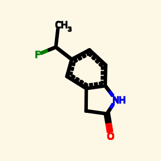 CC(F)c1ccc2c(c1)CC(=O)N2